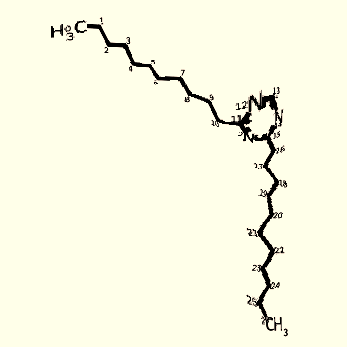 CCCCCCCCCCCc1n[c]nc(CCCCCCCCCCC)n1